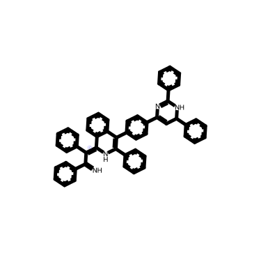 N=C(/C(=C1\NC(c2ccccc2)=C(c2ccc(C3=CC(c4ccccc4)NC(c4ccccc4)=N3)cc2)c2ccccc21)c1ccccc1)c1ccccc1